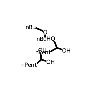 CCCCCC(O)O.CCCCCC(O)O.CCCCOCCCC